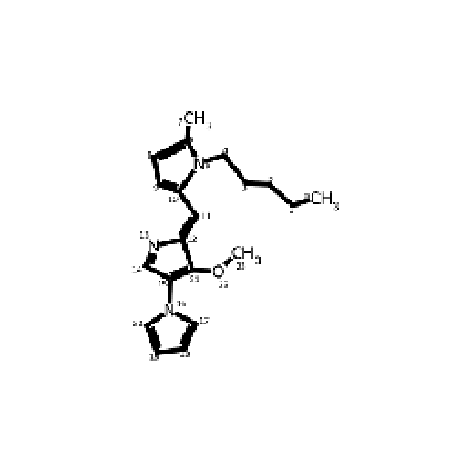 CCCCCn1c(C)ccc1/C=C1\N=CC(n2cccc2)=C1OC